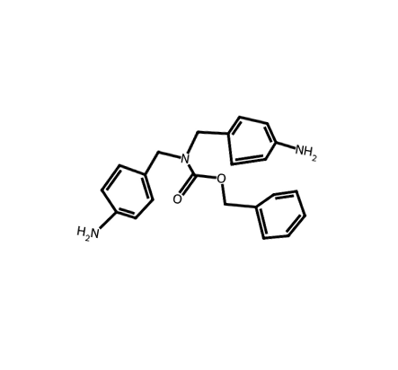 Nc1ccc(CN(Cc2ccc(N)cc2)C(=O)OCc2ccccc2)cc1